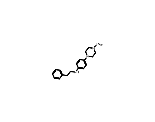 CSN1CCN(c2ccc(NCCc3ccccc3)cc2)CC1